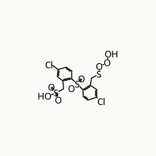 O=S(=O)(O)Cc1cc(Cl)ccc1S(=O)(=O)c1ccc(Cl)cc1CSOOO